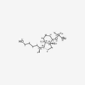 C[C@@H](CCCCO)[C@H]1CC[C@H]2C(O[Si](C)(C)C(C)(C)C)CCC[C@]12C